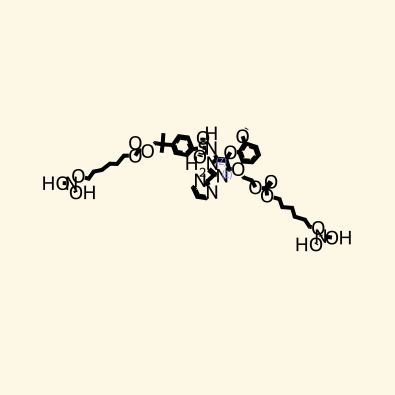 C=C(/N=C(OCCOC(=O)OCCCCCCON(O)O)\C(Oc1ccccc1OC)=C(/N)NS(=O)(=O)c1ccc(C(C)(C)COC(=O)OCCCCCCON(O)O)cc1)c1ncccn1